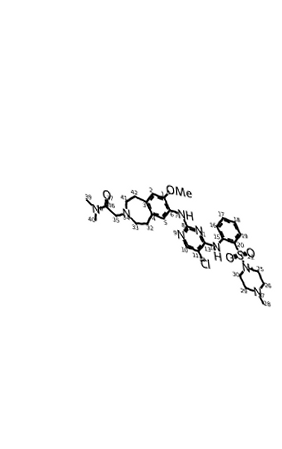 COc1cc2c(cc1Nc1ncc(Cl)c(Nc3ccccc3S(=O)(=O)N3CCN(C)CC3)n1)CCN(CC(=O)N(C)C)CC2